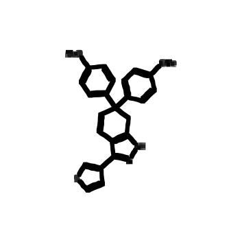 COc1ccc(C2(c3ccc(OC)cc3)C=Cc3c(-c4ccsc4)n[nH]c3C2)cc1